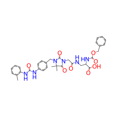 Cc1ccccc1NC(=O)Nc1ccc(CN2C(=O)N(CC(=O)NCC(NC(=O)OCc3ccccc3)C(=O)O)C(=O)C2(C)C)cc1